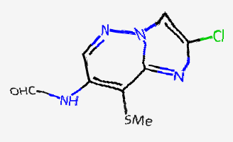 CSc1c(NC=O)cnn2cc(Cl)nc12